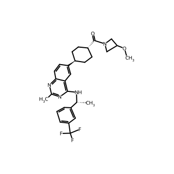 COC1CN(C(=O)[C@H]2CC[C@H](c3ccc4nc(C)nc(N[C@H](C)c5cccc(C(F)(F)F)c5)c4c3)CC2)C1